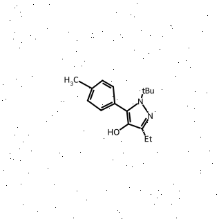 CCc1nn(C(C)(C)C)c(-c2ccc(C)cc2)c1O